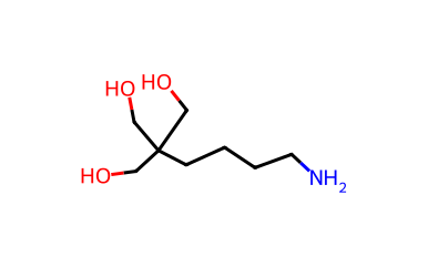 NCCCCC(CO)(CO)CO